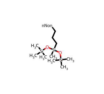 CCCCCCCCCCCC[Si](C)(O[Si](C)(C)C)O[Si](C)(C)C